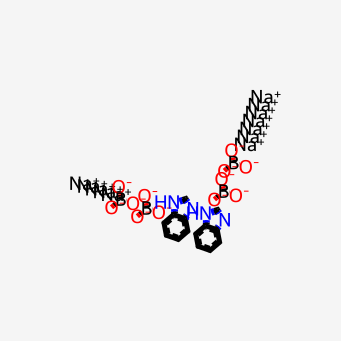 [Na+].[Na+].[Na+].[Na+].[Na+].[Na+].[Na+].[Na+].[Na+].[Na+].[Na+].[Na+].[O-]B([O-])[O-].[O-]B([O-])[O-].[O-]B([O-])[O-].[O-]B([O-])[O-].c1ccc2[nH]cnc2c1.c1ccc2[nH]cnc2c1